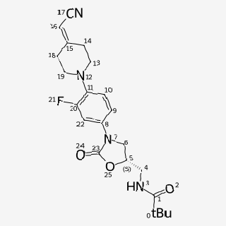 CC(C)(C)C(=O)NC[C@H]1CN(c2ccc(N3CCC(=CC#N)CC3)c(F)c2)C(=O)O1